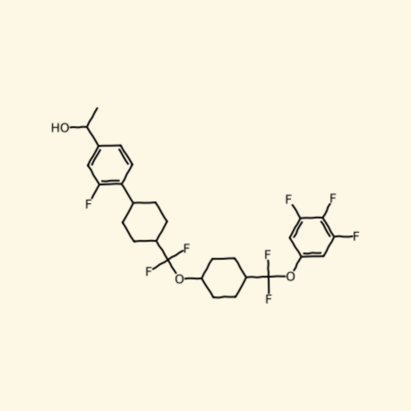 CC(O)c1ccc(C2CCC(C(F)(F)OC3CCC(C(F)(F)Oc4cc(F)c(F)c(F)c4)CC3)CC2)c(F)c1